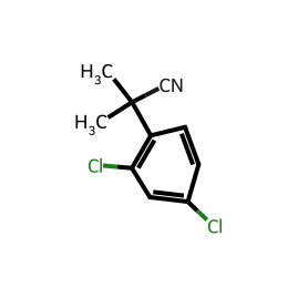 CC(C)(C#N)c1ccc(Cl)cc1Cl